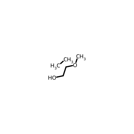 CC.COCCO